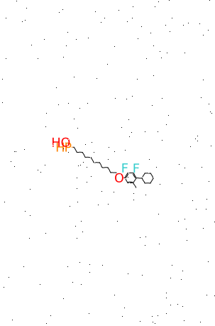 Cc1cc(OCCCCCCCCCCCPO)c(F)c(F)c1C1CCCCC1